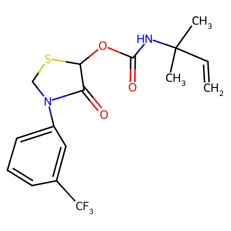 C=CC(C)(C)NC(=O)OC1SCN(c2cccc(C(F)(F)F)c2)C1=O